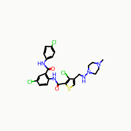 CN1CCN(NCc2csc(C(=O)Nc3ccc(Cl)cc3C(=O)Nc3ccc(Cl)cc3)c2Cl)CC1